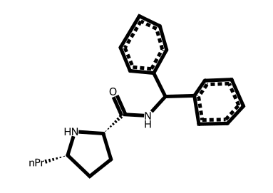 CCC[C@H]1CC[C@@H](C(=O)NC(c2ccccc2)c2ccccc2)N1